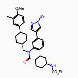 CCOC(=O)N[C@H]1CC[C@H](C(=O)N(C[C@H]2CC[C@H](c3ccc(OC)c(C)c3)CC2)c2cccc(-c3cnn(C(C)C)c3)c2)CC1